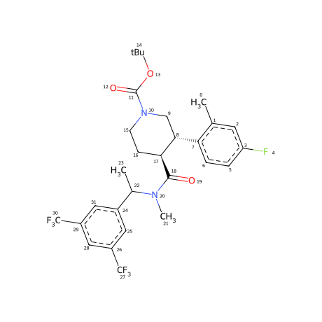 Cc1cc(F)ccc1[C@H]1CN(C(=O)OC(C)(C)C)CC[C@@H]1C(=O)N(C)C(C)c1cc(C(F)(F)F)cc(C(F)(F)F)c1